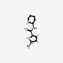 O=C(Nc1ccccn1)c1ccc(Br)o1